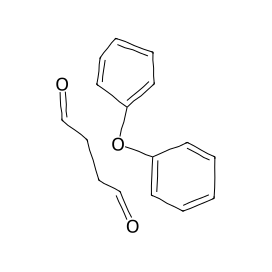 O=CCCC=O.c1ccc(Oc2ccccc2)cc1